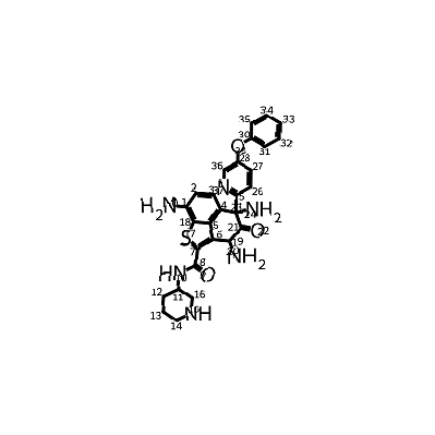 Nc1ccc2c3c(c(C(=O)NC4CCCNC4)sc13)C(N)C(=O)C2(N)c1ccc(Oc2ccccc2)cn1